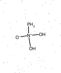 [O-][N+](O)(O)P